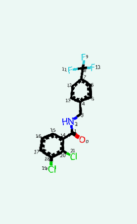 O=C(NCc1ccc(C(F)(F)F)cc1)c1cccc(Cl)c1Cl